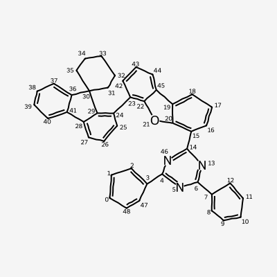 c1ccc(-c2nc(-c3ccccc3)nc(-c3cccc4c3oc3c(-c5cccc6c5C5(CCCCC5)c5ccccc5-6)cccc34)n2)cc1